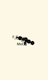 COC(=O)CCC1(c2ccc(-c3ccccc3)cc2)CCCN(C(=O)Nc2ccc(OC(F)(F)F)cc2)C1